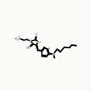 CCCCCCN(C)c1ccc(/C=C2\SC(=S)N(CCN)C2=O)cc1